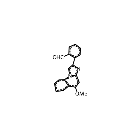 COc1cc2nc(-c3ccccc3C=O)cn2c2ccccc12